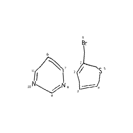 Brc1cccs1.c1cncnc1